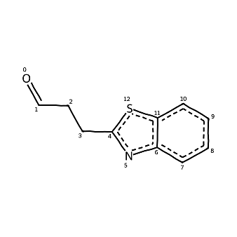 O=CCCc1nc2ccccc2s1